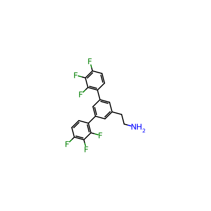 NCCc1cc(-c2ccc(F)c(F)c2F)cc(-c2ccc(F)c(F)c2F)c1